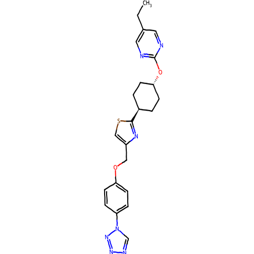 CCc1cnc(O[C@H]2CC[C@H](c3nc(COc4ccc(-n5cnnn5)cc4)cs3)CC2)nc1